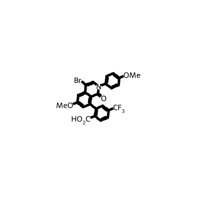 COc1ccc(-n2cc(Br)c3cc(OC)cc(-c4cc(C(F)(F)F)ccc4C(=O)O)c3c2=O)cc1